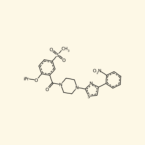 CC(C)Oc1ccc(S(C)(=O)=O)cc1C(=O)N1CCN(c2nc(-c3ccccc3[N+](=O)[O-])cs2)CC1